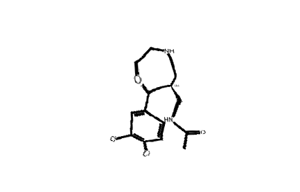 CC(=O)NC[C@@H]1CNCCOC1c1ccc(Cl)c(Cl)c1